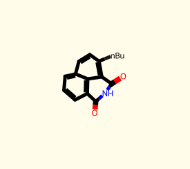 CCCCc1ccc2cccc3c2c1C(=O)NC3=O